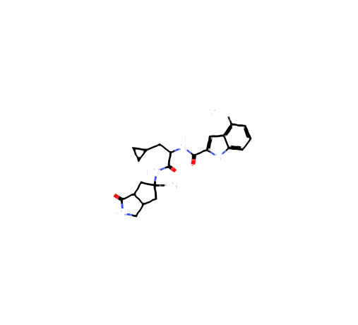 COc1cccc2[nH]c(C(=O)NC(CC3CC3)C(=O)NC3(C#N)CC4CNC(=O)C4C3)cc12